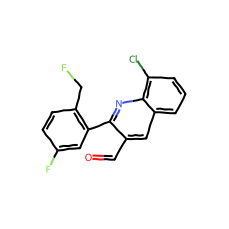 O=Cc1cc2cccc(Cl)c2nc1-c1cc(F)ccc1CF